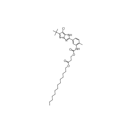 CCCCCCCCCCCCCCOC(=O)CCOC(=O)Nc1cc(-c2nn3nc(C(C)(C)C)c(Cl)c3[nH]2)ccc1C